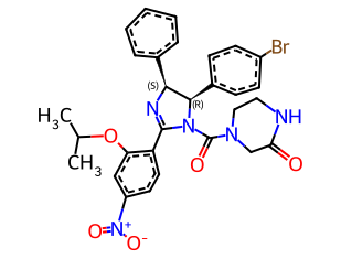 CC(C)Oc1cc([N+](=O)[O-])ccc1C1=N[C@@H](c2ccccc2)[C@@H](c2ccc(Br)cc2)N1C(=O)N1CCNC(=O)C1